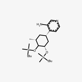 C[C@@H]1C[C@H](c2ccncc2N)C[C@H](O[Si](C)(C)C(C)(C)C)C1O[Si](C)(C)C(C)(C)C